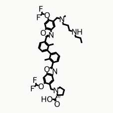 CCCNCCCN(C)Cc1cc2nc(-c3cccc(-c4cccc(-c5nc6cc(CN7CCC[C@H]7C(=O)O)c(OC(F)F)cc6o5)c4C)c3C)oc2cc1OC(F)F